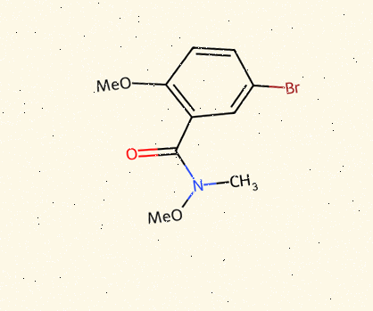 COc1ccc(Br)cc1C(=O)N(C)OC